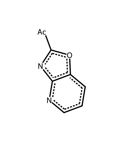 CC(=O)c1nc2ncccc2o1